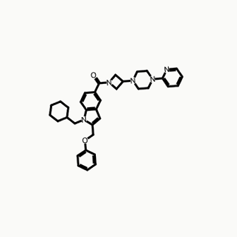 O=C(c1ccc2c(c1)cc(COc1ccccc1)n2CC1CCCCC1)N1CC(N2CCN(c3ccccn3)CC2)C1